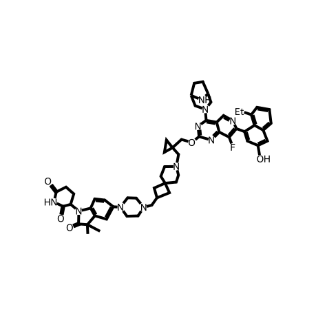 CCc1cccc2cc(O)cc(-c3ncc4c(N5CC6CCC(C5)N6)nc(OCC5(CN6CCC7(CC6)CC(CN6CCN(c8ccc9c(c8)C(C)(C)C(=O)N9C8CCC(=O)NC8=O)CC6)C7)CC5)nc4c3F)c12